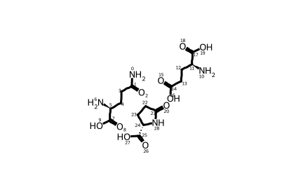 NC(=O)CC[C@H](N)C(=O)O.N[C@@H](CCC(=O)O)C(=O)O.O=C1CC[C@@H](C(=O)O)N1